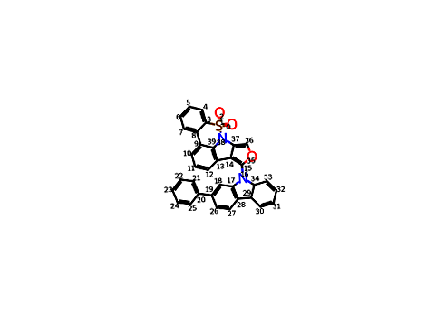 O=S1(=O)c2ccccc2-c2cccc3c4c(N5c6cc(-c7ccccc7)ccc6C6C=CC=CC65)occ4n1c23